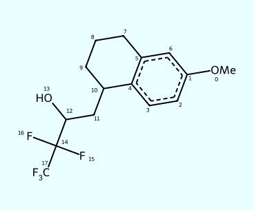 COc1ccc2c(c1)CCCC2CC(O)C(F)(F)C(F)(F)F